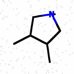 CC1C[N]CC1C